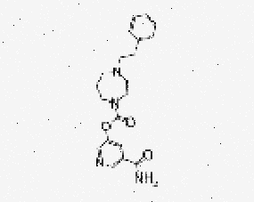 NC(=O)c1cncc(OC(=O)N2CCCN(CCc3ccccc3)CC2)c1